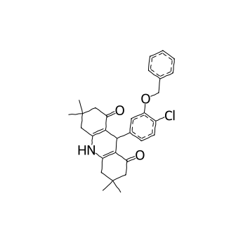 CC1(C)CC(=O)C2=C(C1)NC1=C(C(=O)CC(C)(C)C1)C2c1ccc(Cl)c(OCc2ccccc2)c1